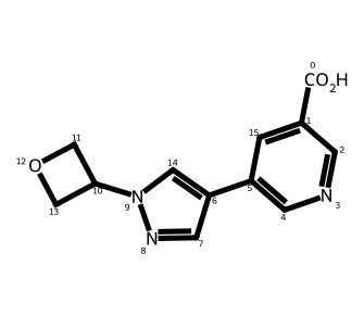 O=C(O)c1cncc(-c2cnn(C3COC3)c2)c1